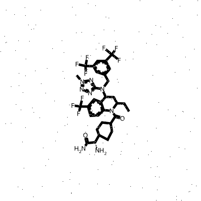 CCC1CC(N(Cc2cc(C(F)(F)F)cc(C(F)(F)F)c2)c2nnn(C)n2)c2cc(C(F)(F)F)ccc2N1C(=O)C1CCC([C@H](N)C(N)=O)CC1